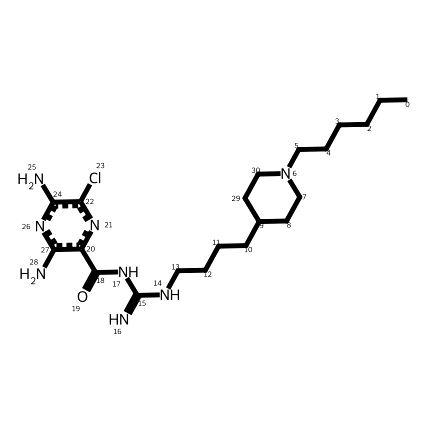 CCCCCCN1CCC(CCCCNC(=N)NC(=O)c2nc(Cl)c(N)nc2N)CC1